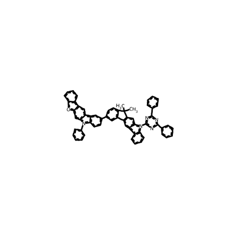 CC1(C)c2ccc(-c3ccc4c(c3)c3cc5c(cc3n4-c3ccccc3)oc3ccccc35)cc2-c2cc3c4ccccc4n(-c4nc(-c5ccccc5)nc(-c5ccccc5)n4)c3cc21